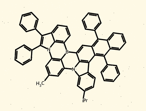 Cc1cc2c3c(c1)-n1c4cc(C(C)C)ccc4c4c5c(-c6ccccc6)c6ccccc6c(-c6ccccc6)c5cc(c41)B3c1cccc3c(-c4ccccc4)c(-c4ccccc4)n-2c13